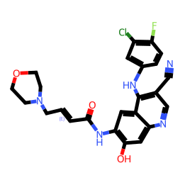 N#Cc1cnc2cc(O)c(NC(=O)/C=C/CN3CCOCC3)cc2c1Nc1ccc(F)c(Cl)c1